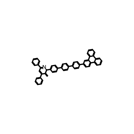 C=C1C(c2ccccc2)=CC(c2ccccc2)=NC1c1ccc(-c2ccc(-c3ccc(-c4ccc5c6ccccc6c6ccccc6c5c4)cc3)cc2)cc1